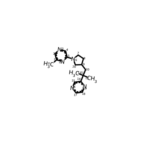 Cc1cncc(N2CCC(CC(C)(C)c3cnccn3)C2)n1